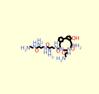 NCCC[C@@H]1NC(=O)[C@@H](N)Cc2cc(ccc2O)-c2cccc(c2)C[C@@H](C(=O)NCC[C@H](N)C(=O)NCC[C@H](N)C(=O)NCCN)NC1=O